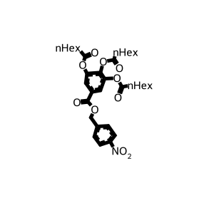 CCCCCCC(=O)Oc1cc(C(=O)OCc2ccc([N+](=O)[O-])cc2)cc(OC(=O)CCCCCC)c1OC(=O)CCCCCC